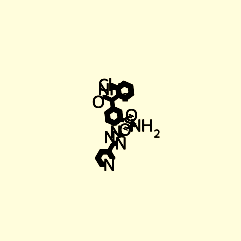 NC(=O)C(c1ccc(-n2cnc(-c3cccnc3)n2)c(S(N)(=O)=O)c1)c1ccccc1Cl